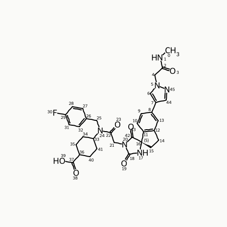 CNC(=O)Cn1cc(-c2ccc3c(c2)CC[C@]32NC(=O)N(CC(=O)N(Cc3ccc(F)cc3)C3CCC(C(=O)O)CC3)C2=O)cn1